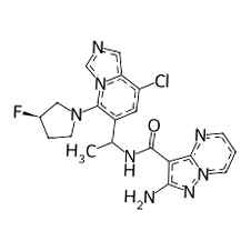 CC(NC(=O)c1c(N)nn2cccnc12)c1cc(Cl)c2cncn2c1N1CC[C@@H](F)C1